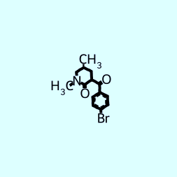 C[C@H]1CC(C(=O)c2ccc(Br)cc2)C(=O)N(C)C1